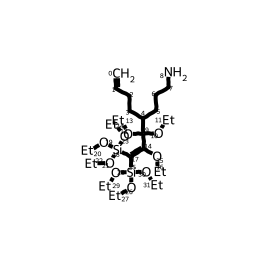 C=CCCC(CCCN)C(OCC)(OCC)C(OCC)=C([Si](OCC)(OCC)OCC)[Si](OCC)(OCC)OCC